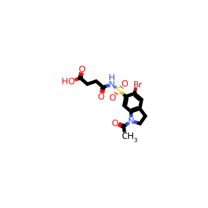 CC(=O)N1CCc2cc(Br)c(S(=O)(=O)NC(=O)CCC(=O)O)cc21